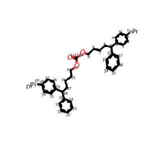 CCCc1ccc(C(CCCCOC(=O)OCCCCC(c2ccccc2)c2ccc(CCC)cc2)c2ccccc2)cc1